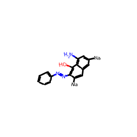 Nc1c[c]([Na])cc2c[c]([Na])c(N=Nc3ccccc3)c(O)c12